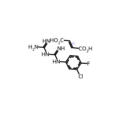 N=C(N)NC(=N)Nc1ccc(F)c(Cl)c1.O=C(O)/C=C/C(=O)O